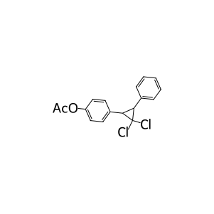 CC(=O)Oc1ccc(C2C(c3ccccc3)C2(Cl)Cl)cc1